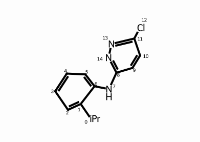 CC(C)c1ccccc1Nc1ccc(Cl)nn1